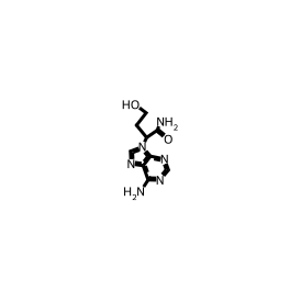 NC(=O)C(CCO)n1cnc2c(N)ncnc21